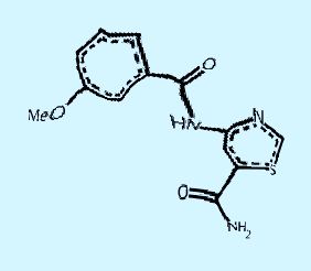 COc1cccc(C(=O)Nc2ncsc2C(N)=O)c1